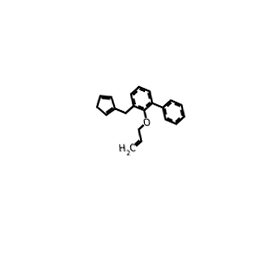 C=CCOc1c(CC2=CCC=C2)cccc1-c1ccccc1